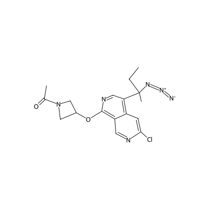 CCC(C)(N=[N+]=[N-])c1cnc(OC2CN(C(C)=O)C2)c2cnc(Cl)cc12